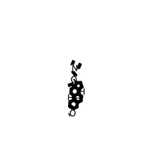 CCN(CC)CCO[C@H]1CC[C@H]2[C@@H]3CCC4=C(CC=C(OC)C4)[C@H]3CCC12CC